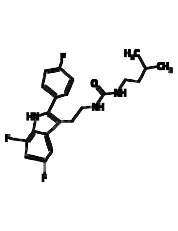 CC(C)CCNC(=O)NCCc1c(-c2ccc(F)cc2)[nH]c2c(F)cc(F)cc12